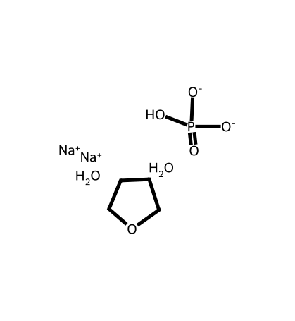 C1CCOC1.O.O.O=P([O-])([O-])O.[Na+].[Na+]